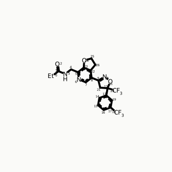 CCC(=O)NCc1ncc(C2=NOC(c3cccc(C(F)(F)F)c3)(C(F)(F)F)C2)c2c1OCC2